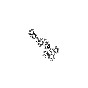 c1ccc(CN(CCC(c2ccccc2)c2ccccc2)CC2CCc3cc(OCc4ccc5ccccc5c4)ccc3C2)cc1